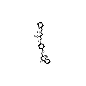 CN(CC(O)COc1ccc(OCC(O)CNCc2ccccn2)cc1)c1ccccn1